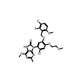 COCCOc1cc(Cl)c(-n2c(=O)[nH]c3c(OC)nc(C)nc32)cc1OCc1c(OC)ccc(F)c1F